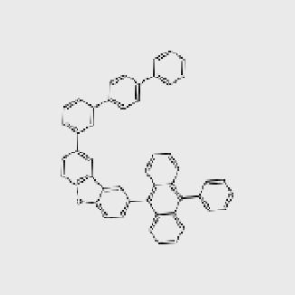 c1ccc(-c2ccc(-c3cccc(-c4ccc5oc6ccc(-c7c8ccccc8c(-c8ccccc8)c8ccccc78)cc6c5c4)c3)cc2)cc1